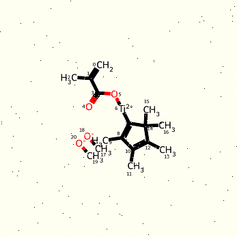 C=C(C)C(=O)[O][Ti+2][C]1=C(C)C(C)=C(C)C1(C)C.C[O-].C[O-]